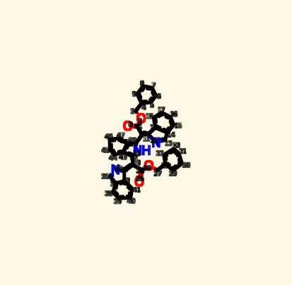 O=C(OCc1ccccc1)/C(=C1/N=Cc2ccccc21)c1[nH]c(/C(C(=O)OCc2ccccc2)=C2\N=Cc3ccccc32)c2ccccc12